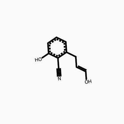 N#Cc1c(O)cccc1CC=CO